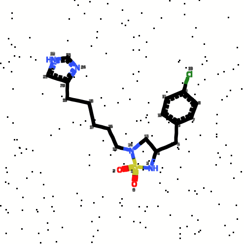 O=S1(=O)NC(Cc2ccc(Cl)cc2)CN1CCCCCc1c[nH]cn1